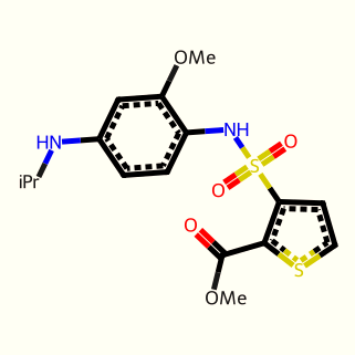 COC(=O)c1sccc1S(=O)(=O)Nc1ccc(NC(C)C)cc1OC